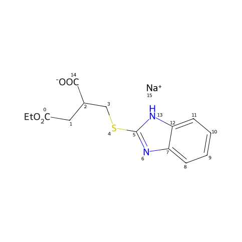 CCOC(=O)CC(CSc1nc2ccccc2[nH]1)C(=O)[O-].[Na+]